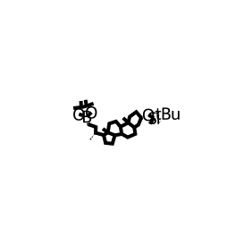 C[C@H](CCB1OC(C)(C)C(C)(C)O1)C1CCC2C3CCC4CC(O[Si](C)(C)C(C)(C)C)CCC4(C)C3CCC21C